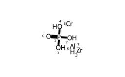 O=P(O)(O)O.[AlH3].[Cr].[Zr]